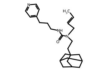 C/C=C/CN(CCC12CC3CC(CC(C3)C1)C2)C(=O)NCCCc1ccncc1